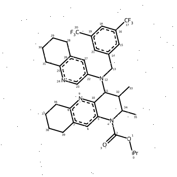 CC(C)OC(=O)N1c2cc3c(nc2C(N(Cc2cc(C(F)(F)F)cc(C(F)(F)F)c2)c2cnc4c(c2)CCCC4)C(C)C1C)CCCC3